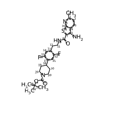 Cc1ccc2c(N)c(C(=O)NCCc3cc(F)c(C4CCN(C(=O)OC(C)(C)C)CC4)cc3F)sc2n1